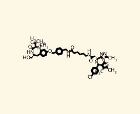 Cc1sc2c(c1C)C(c1ccc(Cl)cc1)=N[C@H](CC(=O)NCCCCCC(=O)NCc1ccc(COc3ccc4c(c3)N(C)C(C(C)C)C(=O)N[C@H](CO)C4)cc1)c1nnc(C)n1-2